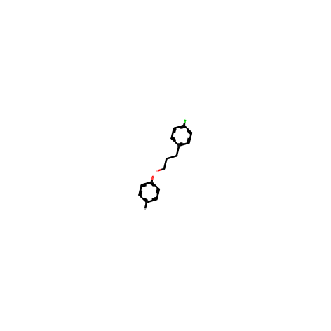 Cc1ccc(OCCCc2ccc(Cl)cc2)cc1